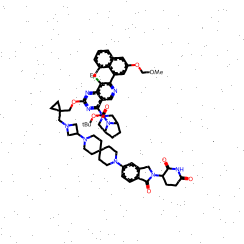 CCc1cccc2cc(OCOC)cc(-c3ncc4c(N5CC6CCC(C5)N6C(=O)OC(C)(C)C)nc(OCC5(CN6CC(N7CCC8(CCN(c9ccc%10c(c9)CN(C9CCC(=O)NC9=O)C%10=O)CC8)CC7)C6)CC5)nc4c3F)c12